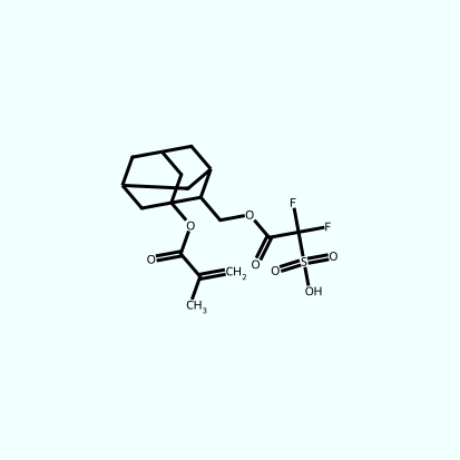 C=C(C)C(=O)OC12CC3CC(CC(C3)C1COC(=O)C(F)(F)S(=O)(=O)O)C2